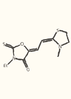 CCN1C(=O)/C(=C/C=C2/SCCN2C)OC1=S